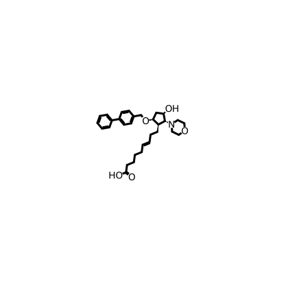 O=C(O)CCCCC=CCC[C@@H]1[C@@H](N2CCOCC2)[C@H](O)C[C@@H]1OCc1ccc(-c2ccccc2)cc1